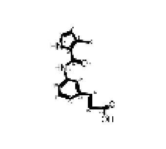 Cc1cc[nH]c1C(=O)Nc1cccc(/C=C/C(=O)O)c1